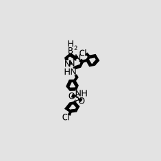 Bc1cnn2c(NCc3cccc(NS(=O)(=O)c4ccc(Cl)cc4)c3)cc(-c3ccccc3Cl)nc12